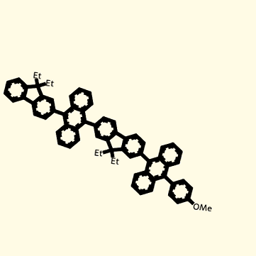 CCC1(CC)c2ccccc2-c2ccc(-c3c4ccccc4c(-c4ccc5c(c4)C(CC)(CC)c4cc(-c6c7ccccc7c(-c7ccc(OC)cc7)c7ccccc67)ccc4-5)c4ccccc34)cc21